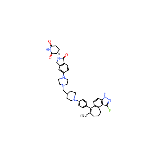 CCCCC1=C(c2ccc(N3CCC(CN4CCN(c5ccc6c(c5)CN([C@H]5CCC(=O)NC5=O)C6=O)CC4)CC3)cc2)c2ccc3[nH]nc(F)c3c2CCC1